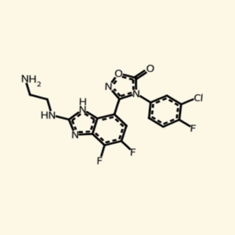 NCCNc1nc2c(F)c(F)cc(-c3noc(=O)n3-c3ccc(F)c(Cl)c3)c2[nH]1